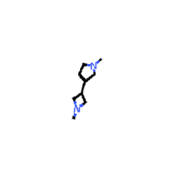 CN1CCC(C2CN(C)C2)C1